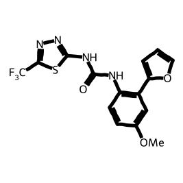 COc1ccc(NC(=O)Nc2nnc(C(F)(F)F)s2)c(-c2ccco2)c1